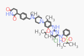 Cc1cc(Nc2ncc(Cl)c(Nc3ccccc3S(=O)(=O)C(C)C)n2)c(OC(C)C)cc1N1CCC(N(C)Cc2ccc(C3CCC(=O)NC3=O)cc2)CC1